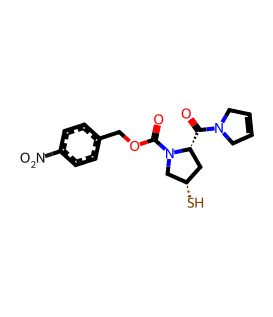 O=C([C@@H]1C[C@H](S)CN1C(=O)OCc1ccc([N+](=O)[O-])cc1)N1CC=CC1